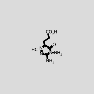 Cl.Nc1nnc(CCC(=O)O)c(=O)n1N